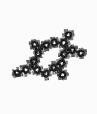 c1ccc(-c2ccc(-n3c4ccc(-c5cccc(-c6ccc7c8cc(-c9ccc%10c(c9)c9cc(-c%11ccccc%11)ccc9n%10-c9cc(-c%10ccccc%10)cc(-c%10ccccc%10)c9)ccc8n(-c8ccccc8)c7c6)c5)cc4c4cc(-c5ccc6c(c5)c5ccccc5n6-c5ccccc5)ccc43)cc2)cc1